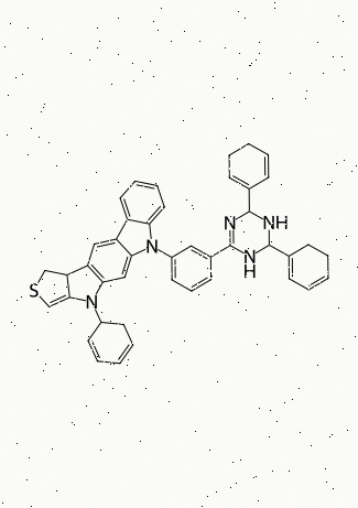 C1=CCCC(C2NC(c3cccc(-n4c5ccccc5c5cc6c(cc54)N(C4C=CC=CC4)C4=CSCC46)c3)=NC(C3=CCCC=C3)N2)=C1